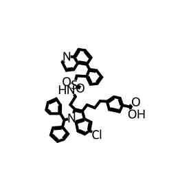 O=C(O)c1ccc(CCCc2c(CCNS(=O)(=O)Cc3ccccc3-c3cccc4ncccc34)n(C(c3ccccc3)c3ccccc3)c3ccc(Cl)cc23)cc1